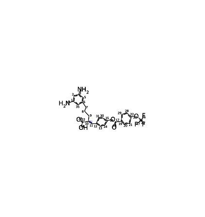 Nc1cc(N)cc(CCC/C(=C\c2ccc(OC(=O)c3ccc(OC(F)(F)F)cc3)cc2)C(=O)O)c1